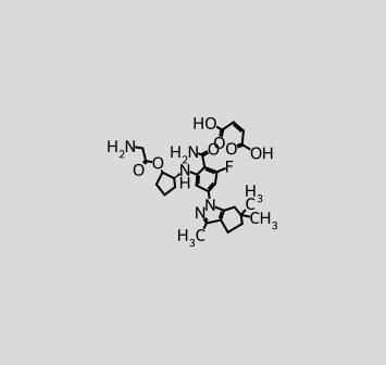 Cc1nn(-c2cc(F)c(C(N)=O)c(N[C@H]3CCC[C@@H]3OC(=O)CN)c2)c2c1CCC(C)(C)C2.O=C(O)/C=C\C(=O)O